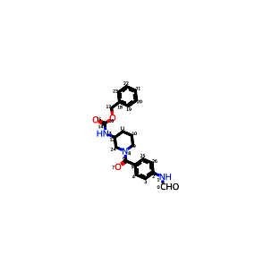 O=CNc1ccc(C(=O)N2CCCC(NC(=O)OCc3ccccc3)C2)cc1